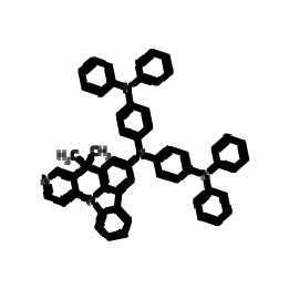 CC1(C)c2cnccc2-n2c3ccccc3c3cc(N(c4ccc(N(c5ccccc5)c5ccccc5)cc4)c4ccc(N(c5ccccc5)c5ccccc5)cc4)cc1c32